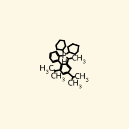 CC(C)c1cc(C(C)C)c2c(c1)C(C)[PH](C1CCCCC1)(C1CCCCC1)c1ccccc1-2